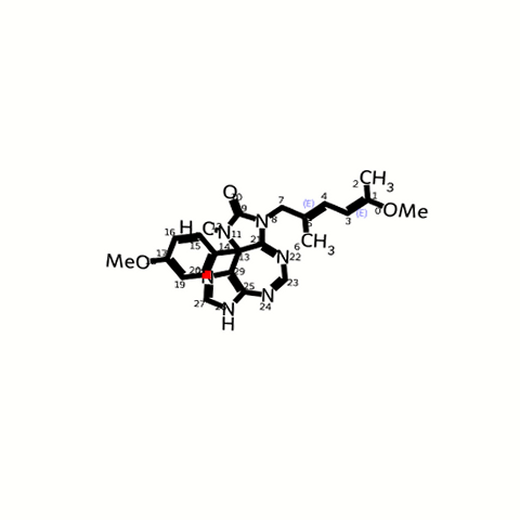 CO/C(C)=C/C=C(\C)CN1C(=O)N(C)C2(c3ccc(OC)cc3)C1=NC=Nc1[nH]cnc12